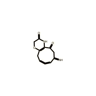 N=C1C=C=CCC2=C(NC(=O)CO2)C(=O)C1